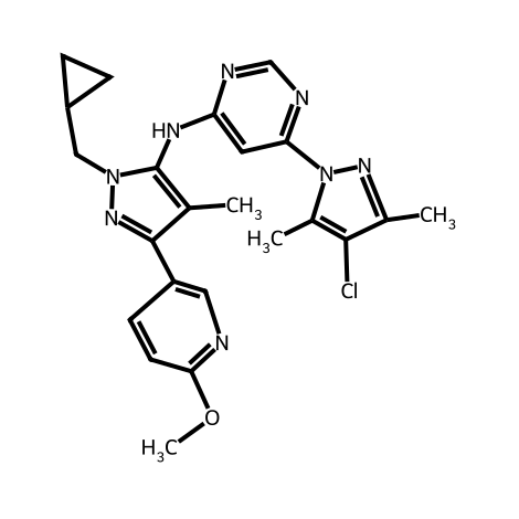 COc1ccc(-c2nn(CC3CC3)c(Nc3cc(-n4nc(C)c(Cl)c4C)ncn3)c2C)cn1